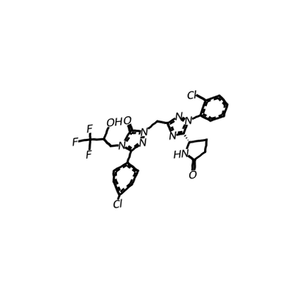 O=C1CC[C@@H](c2nc(Cn3nc(-c4ccc(Cl)cc4)n(CC(O)C(F)(F)F)c3=O)nn2-c2ccccc2Cl)N1